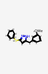 COc1cccc(Cc2cc(Sc3ccccc3)n[nH]2)c1